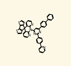 c1ccc(-c2ccc(-c3cc(N4c5ncccc5C5(c6cccnc64)c4ccsc4-c4sccc45)nc(-c4ccc(-c5ccccn5)cc4)n3)cc2)cc1